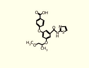 COC[C@H](C)Oc1cc(Oc2ccc(C(=O)O)cc2)cc(C(=O)Nc2nccs2)c1